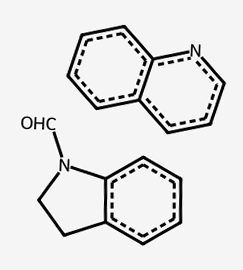 O=CN1CCc2ccccc21.c1ccc2ncccc2c1